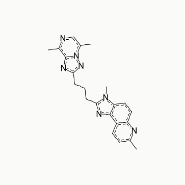 Cc1ccc2c(ccc3c2nc(CCCc2nc4c(C)ncc(C)n4n2)n3C)n1